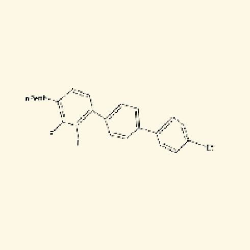 CCCCCc1ccc(-c2ccc(-c3ccc(CC)cc3)cc2)c(F)c1F